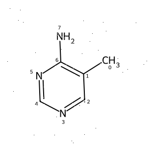 Cc1[c]ncnc1N